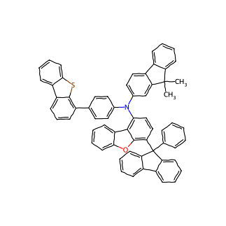 CC1(C)c2ccccc2-c2ccc(N(c3ccc(-c4cccc5c4sc4ccccc45)cc3)c3ccc(C4(c5ccccc5)c5ccccc5-c5ccccc54)c4oc5ccccc5c34)cc21